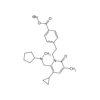 Cc1cc(C2CC2)c(CN(C)C2CCCC2)n(CCc2ccc(C(=O)OC(C)(C)C)cc2)c1=O